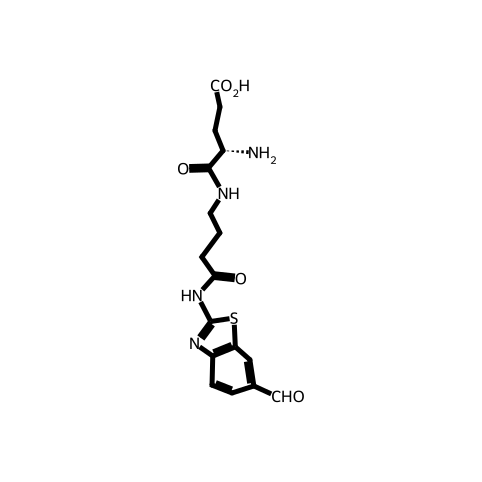 N[C@@H](CCC(=O)O)C(=O)NCCCC(=O)Nc1nc2ccc(C=O)cc2s1